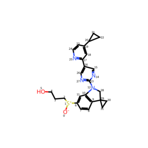 [O-][S+](CCCO)c1ccc2c(c1)N(c1ncc(-c3cc(C4CC4)ccn3)cn1)CC21CC1